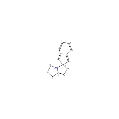 C1=c2ccccc2=CC12CCC1CCCN12